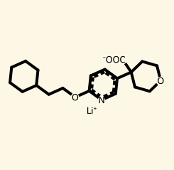 O=C([O-])C1(c2ccc(OCCC3CCCCC3)nc2)CCOCC1.[Li+]